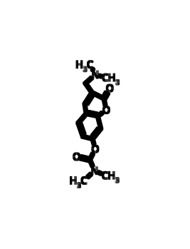 CN(C)Cc1cc2ccc(OC(=O)N(C)C)cc2oc1=O